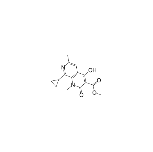 COC(=O)c1c(O)c2cc(C)nc(C3CC3)c2n(C)c1=O